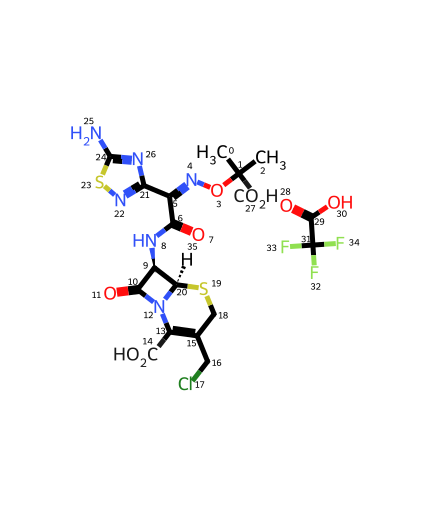 CC(C)(O/N=C(\C(=O)N[C@@H]1C(=O)N2C(C(=O)O)=C(CCl)CS[C@H]12)c1nsc(N)n1)C(=O)O.O=C(O)C(F)(F)F